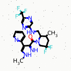 CN/C=C(\C(=N)C(=O)N1CC(F)(F)CC(C)C1CNc1cnc(C(F)(F)F)cn1)c1ccccn1